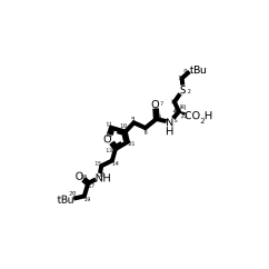 CC(C)(C)CSC[C@H](NC(=O)CCc1coc(CCNC(=O)CC(C)(C)C)c1)C(=O)O